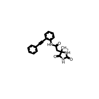 CC1(CC(=O)Nc2ccccc2C#Cc2ccccc2)NC(=O)NC1=O